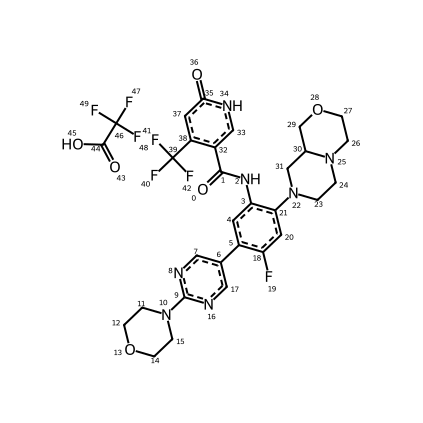 O=C(Nc1cc(-c2cnc(N3CCOCC3)nc2)c(F)cc1N1CCN2CCOCC2C1)c1c[nH]c(=O)cc1C(F)(F)F.O=C(O)C(F)(F)F